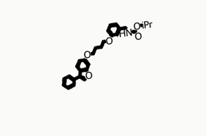 CC(C)OC(=O)NCc1[c]c(OCCCCOc2ccc3c(-c4ccccc4)coc3c2)ccc1